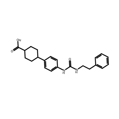 O=C(NCCc1ccccc1)Nc1ccc(C2CCC(C(=O)O)CC2)cc1